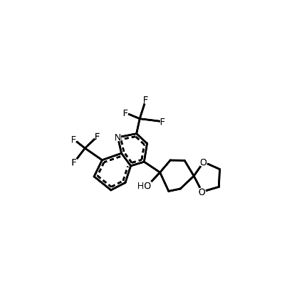 OC1(c2cc(C(F)(F)F)nc3c(C(F)(F)F)cccc23)CCC2(CC1)OCCO2